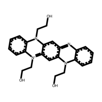 OCCN1c2ccccc2N=c2cc3c(cc21)=[N+](CCO)c1ccccc1N3CCO